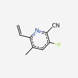 C=Cc1nc(C#N)c(F)cc1C